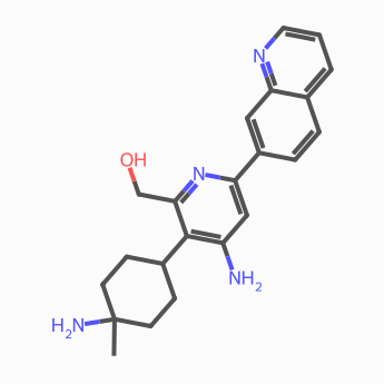 CC1(N)CCC(c2c(N)cc(-c3ccc4cccnc4c3)nc2CO)CC1